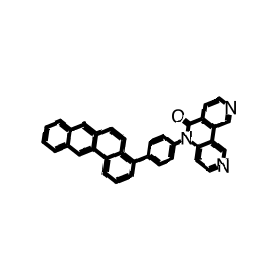 O=c1c2ccncc2c2cnccc2n1-c1ccc(-c2cccc3c2ccc2cc4ccccc4cc23)cc1